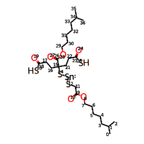 CC(C)CCCCCOC(=O)C[S][Sn][S]C(CCC(=O)S)(CCC(=O)S)C(=O)OCCCCCC(C)C